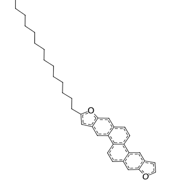 CCCCCCCCCCCCCCc1cc2cc3c(ccc4c5cc6ccoc6cc5ccc34)cc2o1